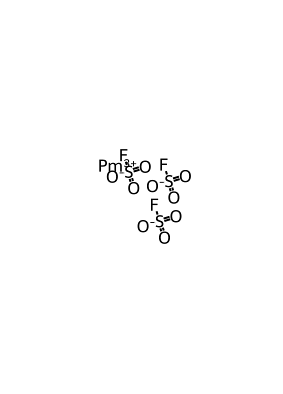 O=S(=O)([O-])F.O=S(=O)([O-])F.O=S(=O)([O-])F.[Pm+3]